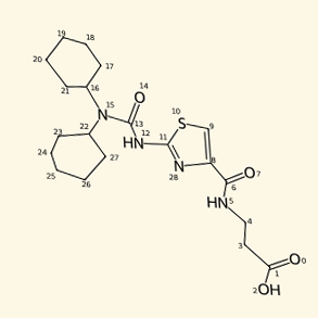 O=C(O)CCNC(=O)c1csc(NC(=O)N(C2CCCCC2)C2CCCCC2)n1